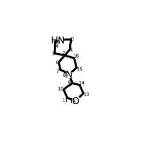 C1CC2(CCN1)CCN(C1CCOCC1)CC2